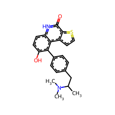 CC(Cc1ccc(-c2c(O)ccc3[nH]c(=O)c4sccc4c23)cc1)N(C)C